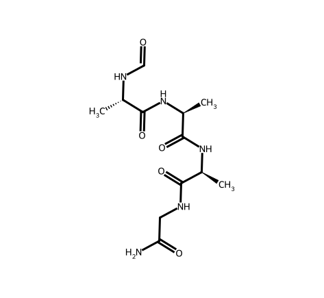 C[C@H](NC=O)C(=O)N[C@@H](C)C(=O)N[C@@H](C)C(=O)NCC(N)=O